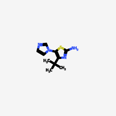 CC(C)(C)c1nc(N)sc1-n1ccnc1